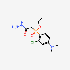 CCOP(=O)(CC(=O)NN)c1ccc(N(C)C)cc1Cl